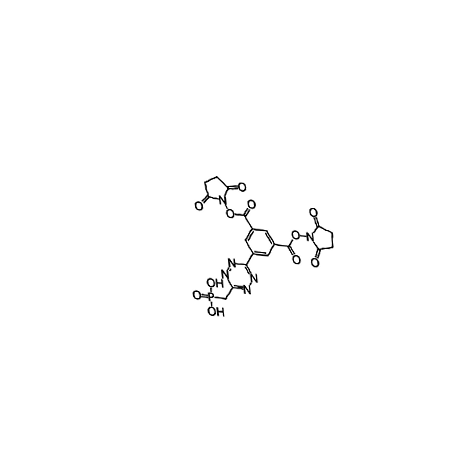 O=C(ON1C(=O)CCC1=O)c1cc(C(=O)ON2C(=O)CCC2=O)cc(-c2nnc(CP(=O)(O)O)nn2)c1